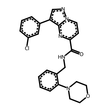 O=C(NCc1ccccc1N1CCOCC1)c1ccn2ncc(-c3cccc(Cl)c3)c2n1